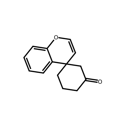 O=C1CCCC2(C=COc3ccccc32)C1